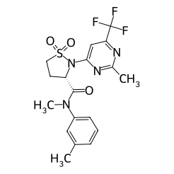 Cc1cccc(N(C)C(=O)[C@@H]2CCS(=O)(=O)N2c2cc(C(F)(F)F)nc(C)n2)c1